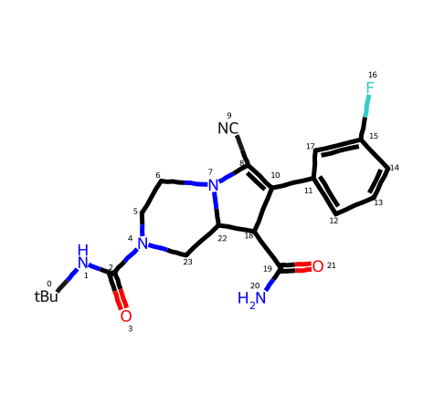 CC(C)(C)NC(=O)N1CCN2C(C#N)=C(c3cccc(F)c3)C(C(N)=O)C2C1